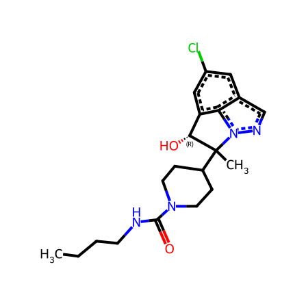 CCCCNC(=O)N1CCC(C2(C)[C@H](O)c3cc(Cl)cc4cnn2c34)CC1